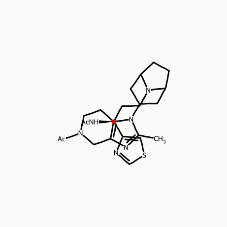 CC(=O)N[C@@H](CCN1C2CCC1CC(n1c(C)nc3c1CCN(C(C)=O)C3)C2)c1cscn1